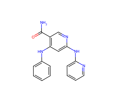 NC(=O)c1cnc(Nc2ccccn2)cc1Nc1ccccc1